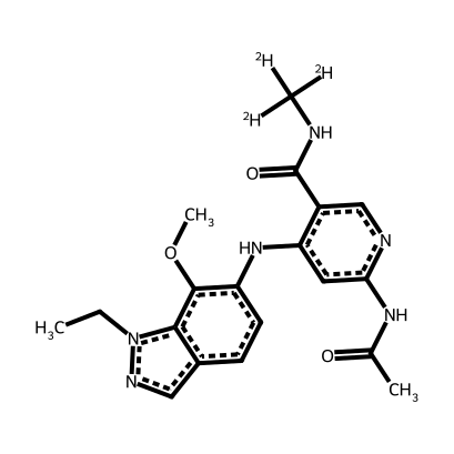 [2H]C([2H])([2H])NC(=O)c1cnc(NC(C)=O)cc1Nc1ccc2cnn(CC)c2c1OC